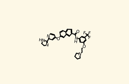 O=C(Nc1cc(OCCN2CCCC2)cc(C(F)(F)F)c1)c1ccc2ccc(Oc3ccnc(C4=NCCN4)c3)cc2c1